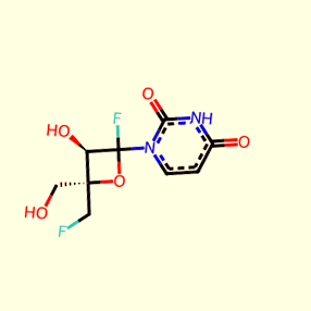 O=c1ccn(C2(F)O[C@@](CO)(CF)[C@H]2O)c(=O)[nH]1